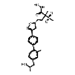 Cc1cc(C[C@@H](C)O)ccc1-c1ccc(C2=NO[C@@H](CC[C@](C)(C(=O)NO)S(C)(=O)=O)C2)cc1